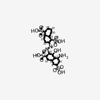 Nc1cc(S(=O)(=O)O)cc2cc(S(=O)(=O)O)c(N=Nc3ccc4c(S(=O)(=O)O)cccc4c3S(=O)(=O)O)c(O)c12